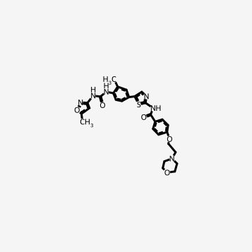 Cc1cc(NC(=O)Nc2ccc(-c3cnc(NC(=O)c4ccc(OCCN5CCOCC5)cc4)s3)cc2C)no1